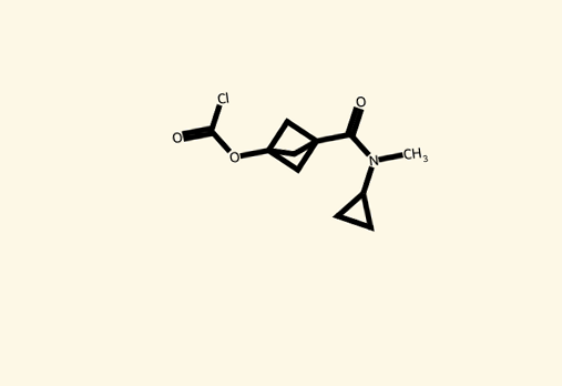 CN(C(=O)C12CC(OC(=O)Cl)(C1)C2)C1CC1